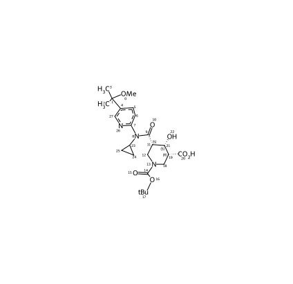 COC(C)(C)c1ccc(N(C(=O)[C@H]2CN(C(=O)OC(C)(C)C)C[C@@H](C(=O)O)[C@H]2O)C2CC2)nc1